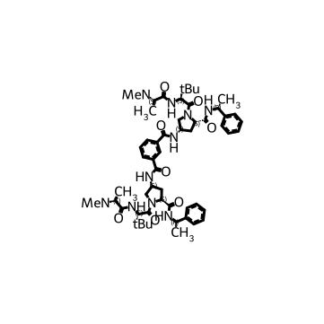 CN[C@@H](C)C(=O)N[C@H](C(=O)N1C[C@@H](NC(=O)c2cccc(C(=O)N[C@H]3C[C@@H](C(=O)N[C@H](C)c4ccccc4)N(C(=O)[C@@H](NC(=O)[C@H](C)NC)C(C)(C)C)C3)c2)C[C@H]1C(=O)N[C@H](C)c1ccccc1)C(C)(C)C